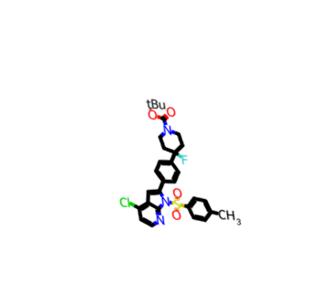 Cc1ccc(S(=O)(=O)n2c(-c3ccc(C4(F)CCN(C(=O)OC(C)(C)C)CC4)cc3)cc3c(Cl)ccnc32)cc1